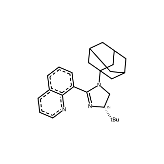 CC(C)(C)[C@H]1CN(C23CC4CC(CC(C4)C2)C3)C(c2cccc3cccnc23)=N1